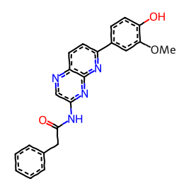 COc1cc(-c2ccc3ncc(NC(=O)Cc4ccccc4)nc3n2)ccc1O